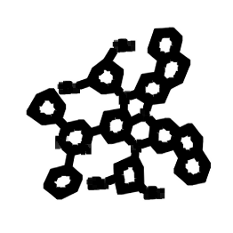 CC(C)(C)c1cc(N2c3cc4c(ccc5ccccc54)cc3B3c4cc5ccc6ccccc6c5cc4N(c4cc(C(C)(C)C)cc(C(C)(C)C)c4)c4cc(-c5cc(-c6ccccc6)nc(-c6ccccc6)n5)cc2c43)cc(C(C)(C)C)c1